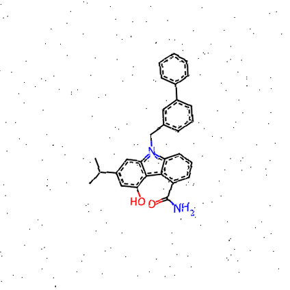 CC(C)c1cc(O)c2c3c(C(N)=O)cccc3n(Cc3cccc(-c4ccccc4)c3)c2c1